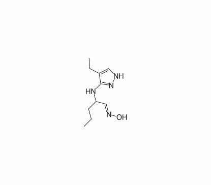 CCCC(C=NO)Nc1n[nH]cc1CC